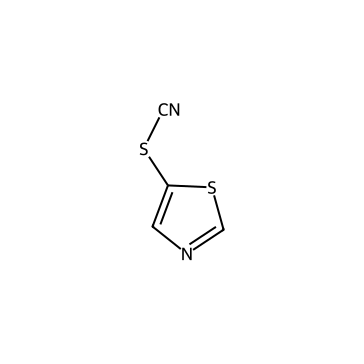 N#CSc1cncs1